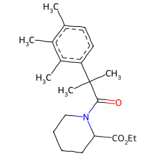 CCOC(=O)C1CCCCN1C(=O)C(C)(C)c1ccc(C)c(C)c1C